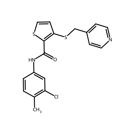 Cc1ccc(NC(=O)c2sccc2SCc2ccncc2)cc1Cl